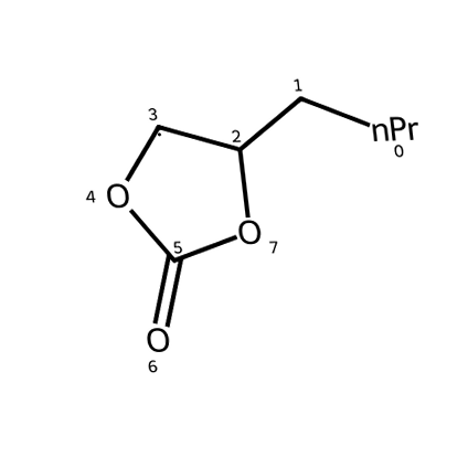 CCCCC1[CH]OC(=O)O1